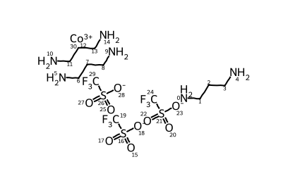 NCCCN.NCCCN.NCCCN.O=S(=O)([O-])C(F)(F)F.O=S(=O)([O-])C(F)(F)F.O=S(=O)([O-])C(F)(F)F.[Co+3]